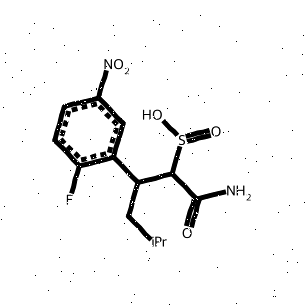 CC(C)CC(c1cc([N+](=O)[O-])ccc1F)C(C(N)=O)S(=O)O